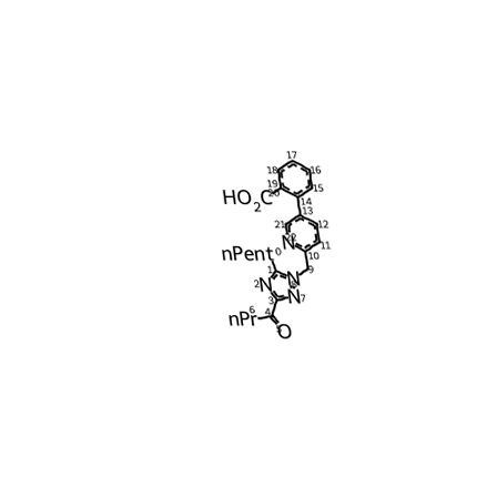 CCCCCc1nc(C(=O)CCC)nn1Cc1ccc(-c2ccccc2C(=O)O)cn1